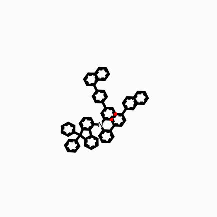 c1ccc(C2(c3ccccc3)c3ccccc3-c3c(N(c4cccc(-c5ccc(-c6cccc7ccccc67)cc5)c4)c4ccccc4-c4ccc(-c5ccc6ccccc6c5)cc4)cccc32)cc1